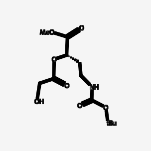 COC(=O)[C@H](CCNC(=O)OC(C)(C)C)OC(=O)CO